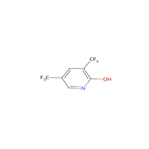 Oc1ncc(C(F)(F)F)cc1C(F)(F)F